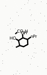 CC(=O)O.CCCC1CCC(C)C(O)C1O